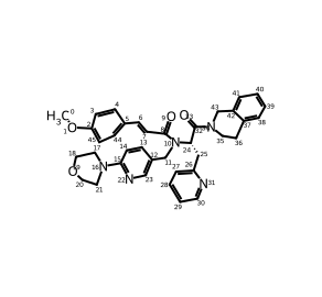 COc1ccc(C=CC(=O)N(Cc2ccc(N3CCOCC3)nc2)[C@@H](Cc2ccccn2)C(=O)N2CCc3ccccc3C2)cc1